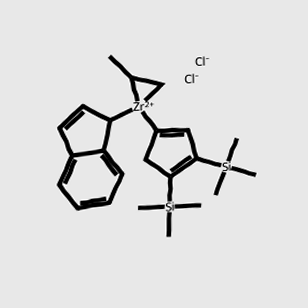 C[CH]1[CH2][Zr+2]1([C]1=CC([Si](C)(C)C)=C([Si](C)(C)C)C1)[CH]1C=Cc2ccccc21.[Cl-].[Cl-]